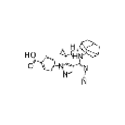 CC1(c2c(/C(=N\C#N)NC34CC5CC(CC(C5)C3)C4)cnn2-c2ccc(C(=O)O)cc2)CC1